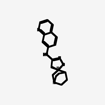 c1cnc2cc(NC3=NO[C@@]4(C3)CN3CCC4CC3)ccc2c1